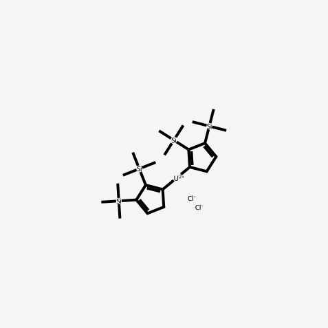 C[Si](C)(C)C1=CC[C]([U+2][C]2=C([Si](C)(C)C)C([Si](C)(C)C)=CC2)=C1[Si](C)(C)C.[Cl-].[Cl-]